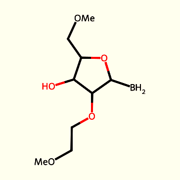 BC1OC(COC)C(O)C1OCCOC